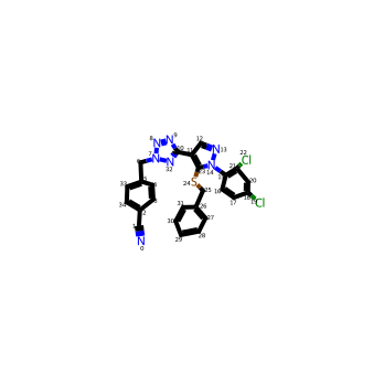 N#Cc1ccc(Cn2nnc(-c3cnn(-c4ccc(Cl)cc4Cl)c3SCc3ccccc3)n2)cc1